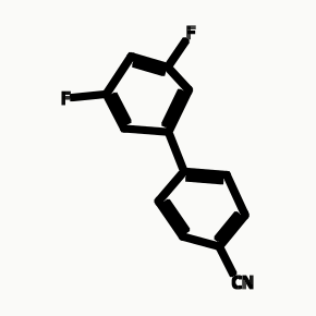 N#Cc1ccc(-c2cc(F)cc(F)c2)cc1